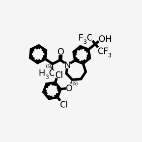 C[C@H](C(=O)N1C[C@@H](Oc2c(Cl)cccc2Cl)CCc2cc(C(O)(C(F)(F)F)C(F)(F)F)ccc21)c1ccccc1